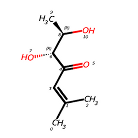 CC(C)=CC(=O)[C@H](O)[C@@H](C)O